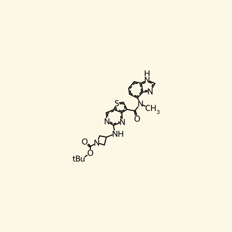 CN(C(=O)c1csc2cnc(NC3CN(C(=O)OC(C)(C)C)C3)nc12)c1cccc2[nH]cnc12